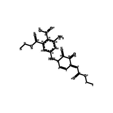 CCOC(=O)C=C1C=CC(Nc2nc(N)c([N+](=O)[O-])c(C(=O)OCC)n2)C(=O)C1=O